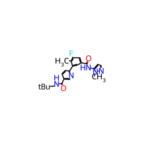 Cc1c(F)cc(C(=O)Nc2ccnn2C)cc1-c1ccc(C(=O)NCC(C)(C)C)cn1